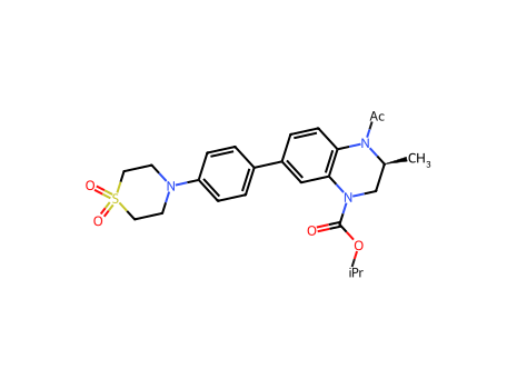 CC(=O)N1c2ccc(-c3ccc(N4CCS(=O)(=O)CC4)cc3)cc2N(C(=O)OC(C)C)C[C@@H]1C